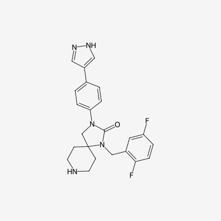 O=C1N(c2ccc(-c3cn[nH]c3)cc2)CC2(CCNCC2)N1Cc1cc(F)ccc1F